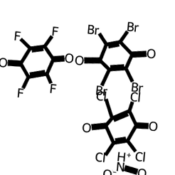 O=C1C(Br)=C(Br)C(=O)C(Br)=C1Br.O=C1C(Cl)=C(Cl)C(=O)C(Cl)=C1Cl.O=C1C(F)=C(F)C(=O)C(F)=C1F.O=[NH+][O-]